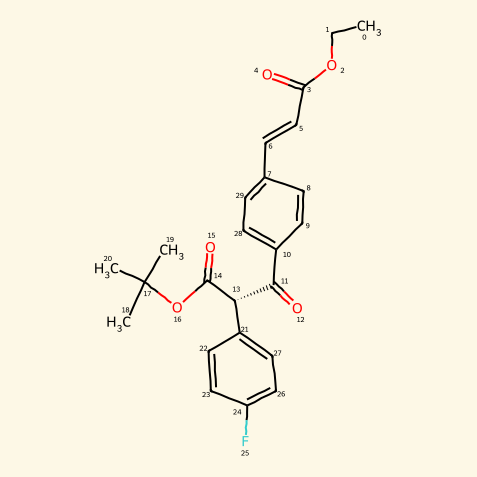 CCOC(=O)/C=C/c1ccc(C(=O)[C@@H](C(=O)OC(C)(C)C)c2ccc(F)cc2)cc1